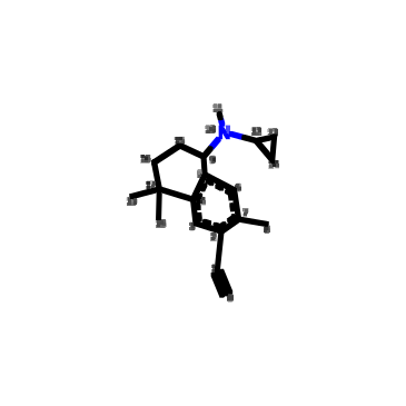 C#Cc1cc2c(cc1C)C(N(C)C1CC1)CCC2(C)C